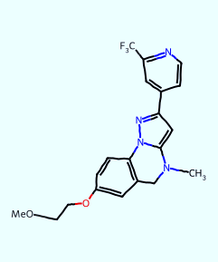 COCCOc1ccc2c(c1)CN(C)c1cc(-c3ccnc(C(F)(F)F)c3)nn1-2